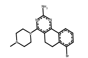 CN1CCN(c2nc(N)nc3c2CCc2c(Br)cccc2-3)CC1